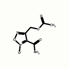 CC(=O)OCc1no[n+]([O-])c1C(N)=O